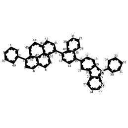 c1ccc(-c2ccc3ccc4c(-c5ccc(-c6ccc7c(c6)c6cccnc6n7-c6ccccc6)c6ccccc56)ccc5ccc2c3c54)cc1